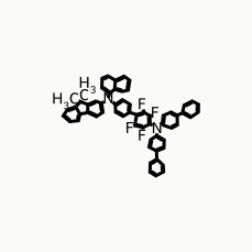 CC1(C)c2ccccc2-c2ccc(N(c3ccc(-c4c(F)c(F)c(N(c5ccc(-c6ccccc6)cc5)c5ccc(-c6ccccc6)cc5)c(F)c4F)cc3)c3cccc4ccccc34)cc21